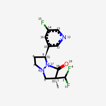 C[C@]1(C(F)F)CN2CC[C@@H](c3cncc(F)c3)N2C1=O